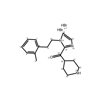 Br.Br.Cc1ccccc1CCn1ccnc1C(=O)C1CCNCC1